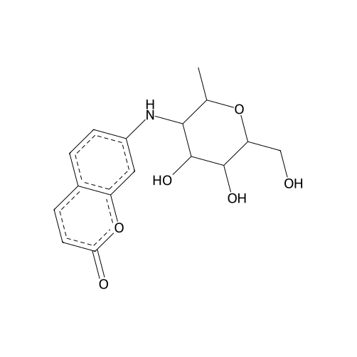 CC1OC(CO)C(O)C(O)C1Nc1ccc2ccc(=O)oc2c1